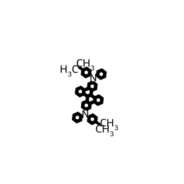 CC(C)c1ccc(N(c2ccccc2)c2ccc3c(c2)c2ccccc2c2c4ccc(N(c5ccccc5)c5ccc(C(C)C)cc5)cc4c4ccccc4c32)cc1